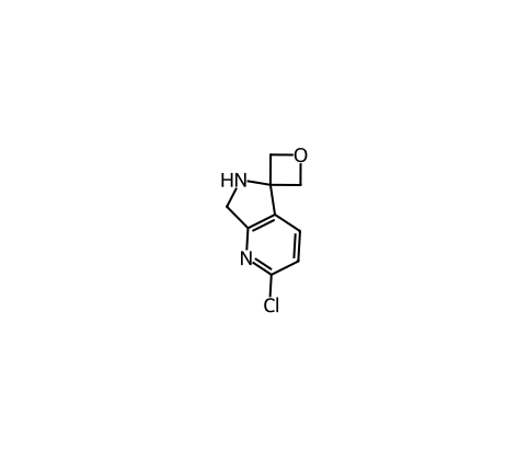 Clc1ccc2c(n1)CNC21COC1